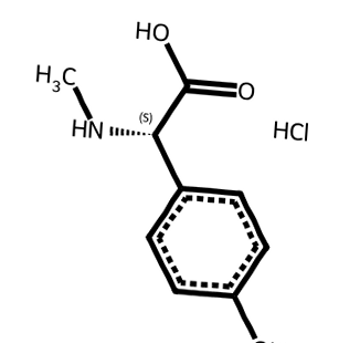 CN[C@H](C(=O)O)c1ccc(O)cc1.Cl